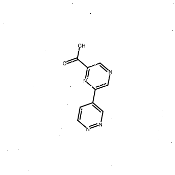 O=C(O)c1cncc(-c2ccnnc2)n1